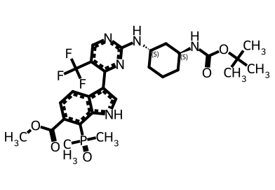 COC(=O)c1ccc2c(-c3nc(N[C@H]4CCC[C@H](NC(=O)OC(C)(C)C)C4)ncc3C(F)(F)F)c[nH]c2c1P(C)(C)=O